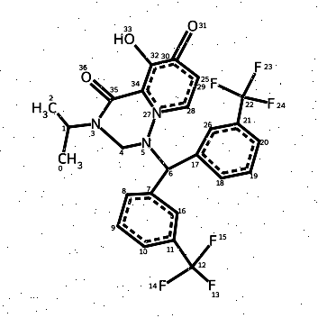 CC(C)N1CN(C(c2cccc(C(F)(F)F)c2)c2cccc(C(F)(F)F)c2)n2ccc(=O)c(O)c2C1=O